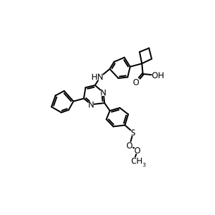 COOSc1ccc(-c2nc(Nc3ccc(C4(C(=O)O)CCC4)cc3)cc(-c3ccccc3)n2)cc1